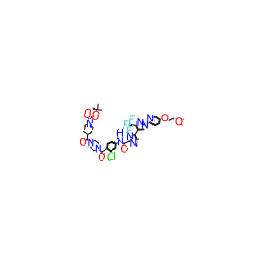 COCCOc1ccc(-n2cc(-c3cnc(C(=O)Nc4ccc(C(=O)N5CCN(C(=O)C6CCN(C(=O)OC(C)(C)C)CC6)CC5)c(Cl)c4)n3C)c(C(F)(F)F)n2)nc1